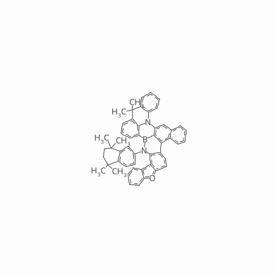 CC1(C)CCC(C)(C)c2cc(N3B4c5cccc6c5N(c5ccccc5C6(C)C)c5cc6ccccc6c(c54)-c4ccc5oc6ccccc6c5c43)ccc21